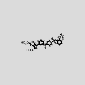 CS(=O)(=O)Nc1ccccc1CS(=O)(=O)N1CCC(Nc2cccc(-c3sc(C(=O)O)c(OCC(=O)O)c3Br)c2)CC1